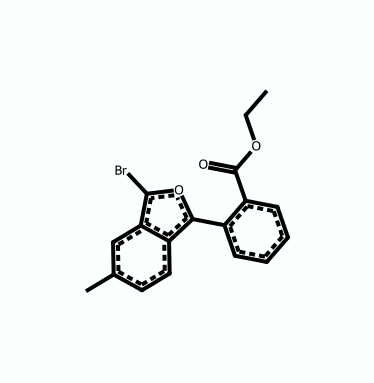 CCOC(=O)c1ccccc1-c1oc(Br)c2cc(C)ccc12